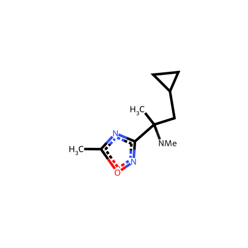 CNC(C)(CC1CC1)c1noc(C)n1